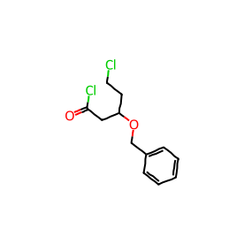 O=C(Cl)CC(CCCl)OCc1ccccc1